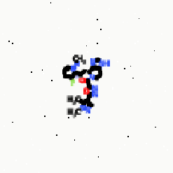 C=NN1C=CC=C(F)/C1=C/C[C@H]1c2nc[nH]c2CCN1C(=O)c1nnc(-c2cnn(C)c2C)o1